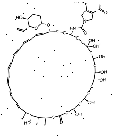 C=C[C@H]1O[C@@H](O[C@H]2/C=C/C=C/C=C/C=C/C=C/C=C/C=C/[C@H](C)[C@@H](O)[C@@H](C)[C@H](C)OC(=O)C[C@H](O)C[C@H](O)CC[C@@H](O)[C@H](O)C[C@H](O)CC(O)(O)CC[C@@H](NC(=O)N3CC(C(=O)O)=C(C(=O)O)C3)CC2)CC[C@@H]1O